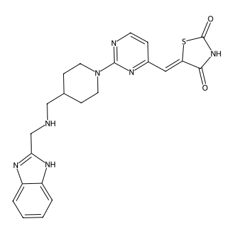 O=C1NC(=O)/C(=C/c2ccnc(N3CCC(CNCc4nc5ccccc5[nH]4)CC3)n2)S1